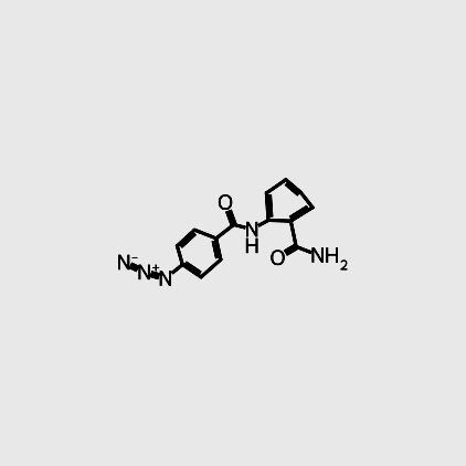 [N-]=[N+]=Nc1ccc(C(=O)Nc2ccccc2C(N)=O)cc1